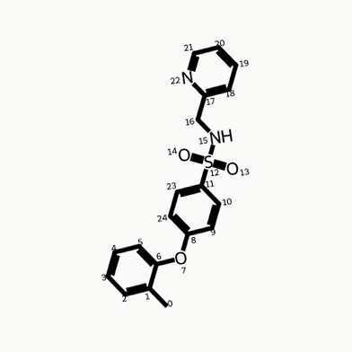 Cc1ccccc1Oc1ccc(S(=O)(=O)NCc2ccccn2)cc1